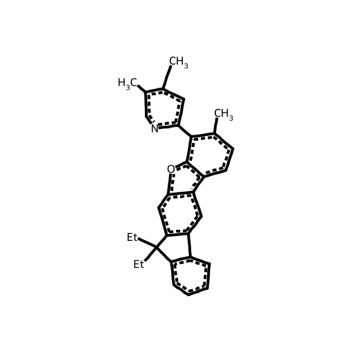 CCC1(CC)c2ccccc2-c2cc3c(cc21)oc1c(-c2cc(C)c(C)cn2)c(C)ccc13